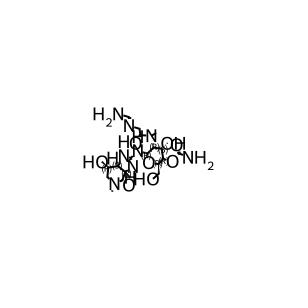 CN1C[C@@H](O)[C@H]2NC(N[C@@H]3O[C@H](CO)[C@H](OC(N)=O)[C@@H](O)[C@H]3N(C)C(=O)CN=CN)=N[C@@H]2C1=O